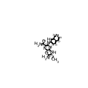 CC[C@@H](Nc1cnc(C(N)=O)c(Nc2ccc3ccncc3c2)n1)C(N)=O